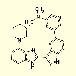 CN(C)c1cncc(-c2cc3c(-c4nc5c(N6CCCCC6)cccc5[nH]4)n[nH]c3cn2)c1